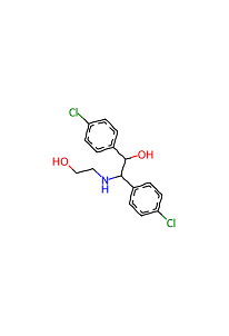 OCCNC(c1ccc(Cl)cc1)C(O)c1ccc(Cl)cc1